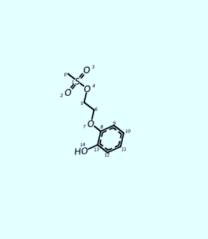 CS(=O)(=O)OCCOc1ccccc1O